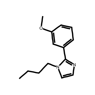 CCCCn1ccnc1-c1cccc(OC)c1